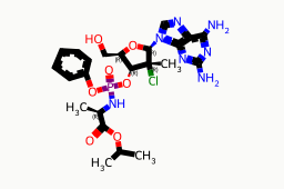 CC(C)OC(=O)[C@@H](C)NP(=O)(Oc1ccccc1)O[C@@H]1[C@@H](CO)O[C@@H](n2cnc3c(N)nc(N)nc32)[C@]1(C)Cl